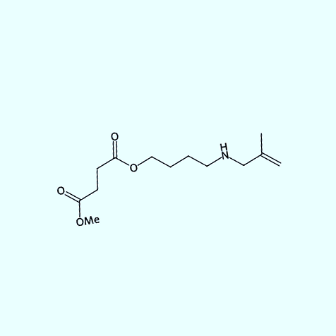 C=C(C)CNCCCCOC(=O)CCC(=O)OC